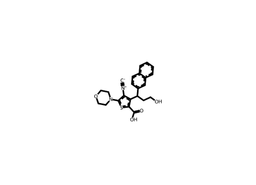 [C-]#[N+]c1c(N2CCOCC2)sc(C(=O)O)c1C(CCO)c1ccc2ccccc2c1